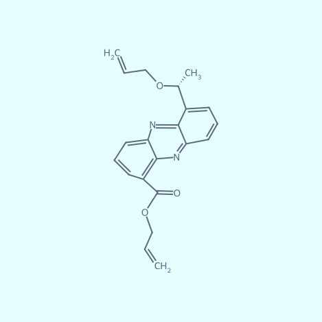 C=CCOC(=O)c1cccc2nc3c([C@@H](C)OCC=C)cccc3nc12